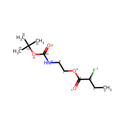 CCC(F)C(=O)OCCNC(=O)OC(C)(C)C